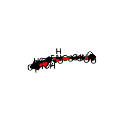 C[C@]12C[C@@H]3O[C@]45C=CC(=O)C=C4[C@@H](F)C[C@@H](C1C[C@H]1O[C@@H](c4ccc(Sc6cccc(NC(=O)CCOCCOCCOCCOCCNC(=O)CCN7C(=O)C=CC7=O)c6)cc4)O[C@]12C(=O)CO)[C@]35F